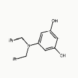 CC(C)CN(CC(C)C)c1cc(O)[c]c(O)c1